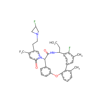 Cc1cc2cc(c1F)C(CC(=O)O)NC(=O)C(n1cc(CCN3CC(F)C3)c(C(F)(F)F)cc1=O)c1cccc(c1)Oc1cccc(C)c1-2